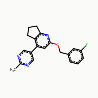 Cc1ncc(-c2cc(OCc3cccc(F)c3)nc3c2CCC3)cn1